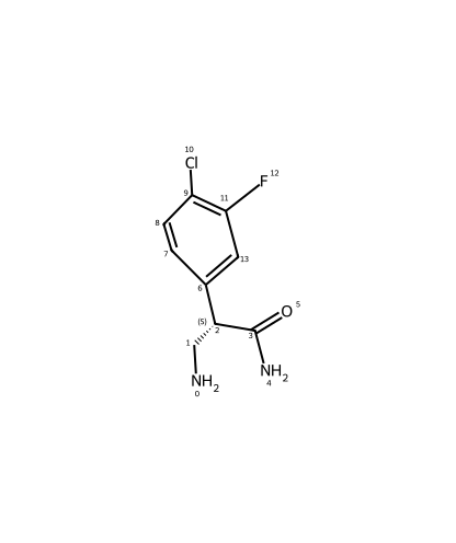 NC[C@@H](C(N)=O)c1ccc(Cl)c(F)c1